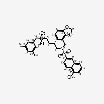 CC[N+](CC)(CCCCN(Cc1cccc2c1OCO2)S(=O)(=O)c1ccc2c(Cl)cccc2c1)Cc1cc(C)cc(C)c1